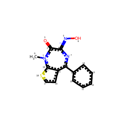 Cn1c(=O)/c(=N/O)nc(-c2ccccc2)c2ccsc21